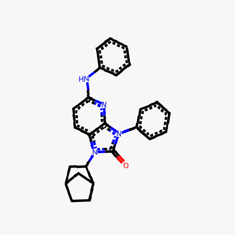 O=c1n(-c2ccccc2)c2nc(Nc3ccccc3)ccc2n1C1CC2CCC1C2